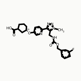 Cn1nnc(-c2ccc(O[C@H]3CCCC(C(=O)O)C3)cn2)c1CNC(=O)OCc1cccc(F)c1